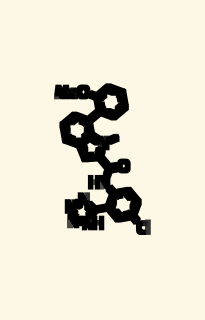 COc1ccccc1-c1cccc2cc(C(=O)Nc3ccc(Cl)cc3-c3nnn[nH]3)n(C)c12